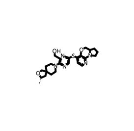 C[C@H]1CC2(CCN(c3ncc(Sc4ccnc5c4OCC4CCCN54)nc3CO)CC2)CO1